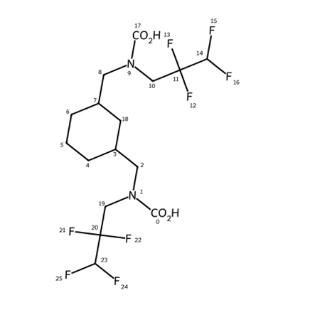 O=C(O)N(CC1CCCC(CN(CC(F)(F)C(F)F)C(=O)O)C1)CC(F)(F)C(F)F